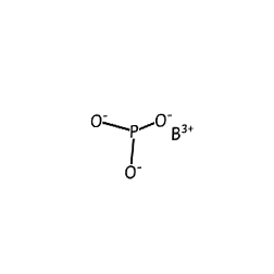 [B+3].[O-]P([O-])[O-]